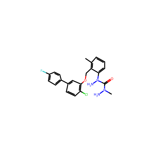 Cc1cccc(N(N)C(=O)N(C)N)c1COc1cc(-c2ccc(F)cc2)ccc1Cl